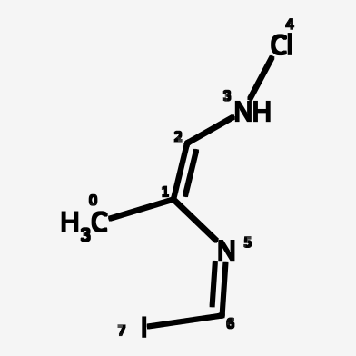 CC(=C/NCl)/N=C\I